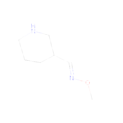 CON=CC1CCCNC1